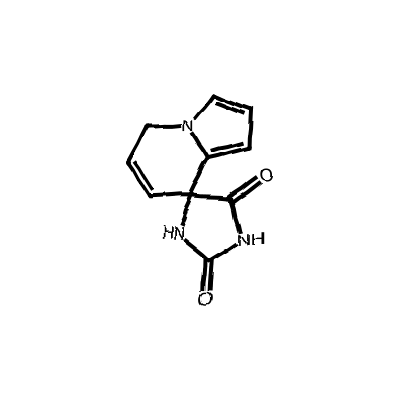 O=C1NC(=O)C2(C=CCn3cccc32)N1